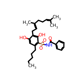 CCCCCc1cc(O)c(C/C=C(\C)CCC=C(C)C)c(O)c1S(=O)(=O)NC(=O)c1ccccc1